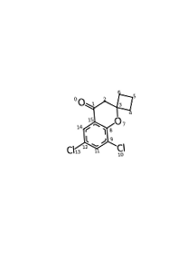 O=C1CC2(CCC2)Oc2c(Cl)cc(Cl)cc21